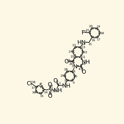 O=C(Nc1ccc(-n2c(=O)[nH]c3cc(NCc4ccccc4F)ccc3c2=O)cc1)NS(=O)(=O)c1ccc(Cl)s1